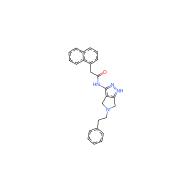 O=C(Cc1cccc2ccccc12)Nc1n[nH]c2c1CN(CCc1ccccc1)C2